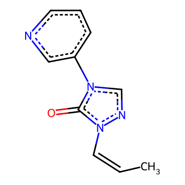 C/C=C\n1ncn(-c2cccnc2)c1=O